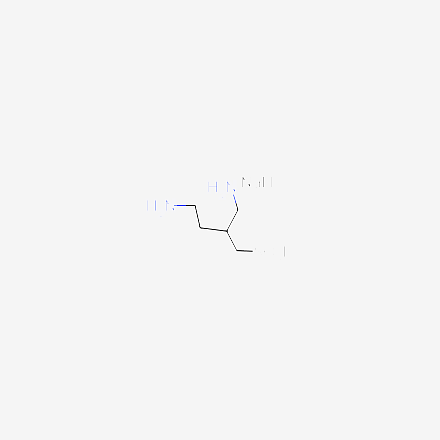 NCCC(CN)CS(=O)(=O)O.[NaH]